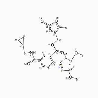 C=C(/C=C(\CC(C)OC)c1ccc(C(=O)NCC2CC2)nc1C(=O)OCc1oc(=O)oc1C)OC